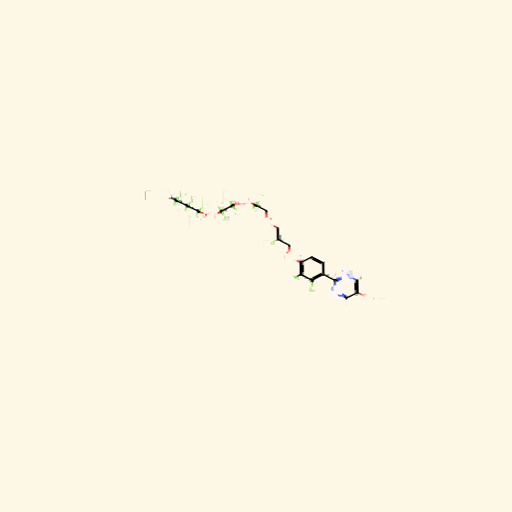 Oc1cnc(-c2ccc(OC[C@@H](F)COCC(F)(F)OC(F)(F)C(F)(F)OC(F)(F)C(F)(F)C(F)(F)C(F)(F)F)c(F)c2F)nc1